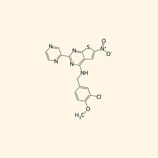 COc1ccc(CNc2nc(-c3cnccn3)nc3sc([N+](=O)[O-])cc23)cc1Cl